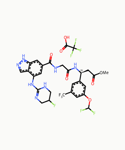 COC(=O)C[C@H](NC(=O)CNC(=O)c1cc(NC2=NCC(F)CN2)c2cn[nH]c2c1)c1cc(OC(F)F)cc(C(F)(F)F)c1.O=C(O)C(F)(F)F